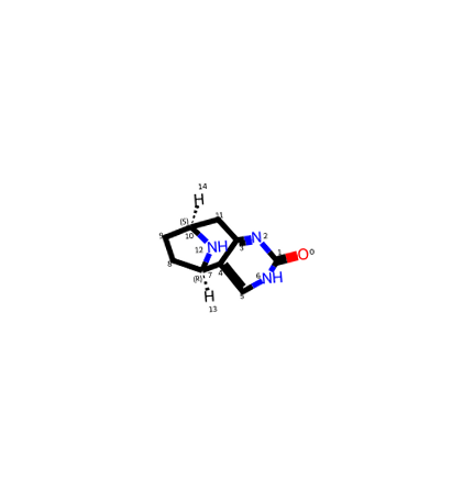 O=c1nc2c(c[nH]1)[C@H]1CC[C@@H](C2)N1